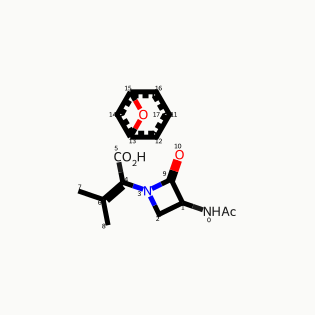 CC(=O)NC1CN(C(C(=O)O)=C(C)C)C1=O.c1cc2cc(c1)O2